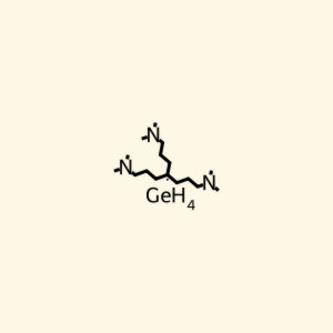 CN(C)CCC[C](CCCN(C)C)CCCN(C)C.[GeH4]